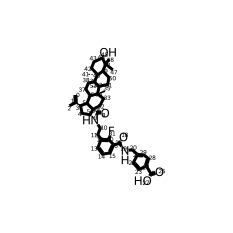 C=C(C)[C@@H]1CC[C@]2(C(=O)NCCc3cccc(C(=O)NCc4ccc(C(=O)O)cc4)c3F)CC[C@]3(C)C(CCC4[C@@]5(C)CC[C@H](O)C(C)(C)C5CC[C@]43C)C12